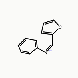 C(=N/c1ccccc1)/c1ccco1